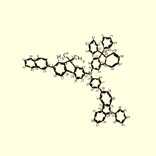 CC1(C)c2cc(-c3ccc4ccccc4c3)ccc2-c2ccc(N(c3ccc(-c4ccc5c(c4)c4ccccc4n5-c4ccccc4)cc3)c3ccc4c(c3)C3C=CC=CC3C4(c3ccccc3)c3ccccc3)cc21